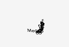 COC(=O)c1cc2sc(N(C)[S+]([O-])c3ccc(F)cc3)cc2oc1=O